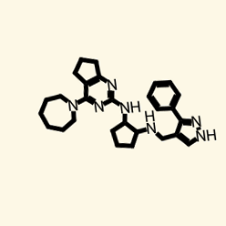 c1ccc(-c2n[nH]cc2CNC2CCCC2Nc2nc3c(c(N4CCCCCC4)n2)CCC3)cc1